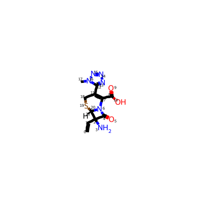 C=CC1(N)C(=O)N2C(C(=O)O)=C(c3nnnn3C)CS[C@H]21